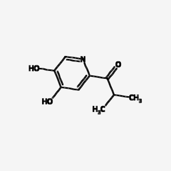 CC(C)C(=O)c1cc(O)c(O)cn1